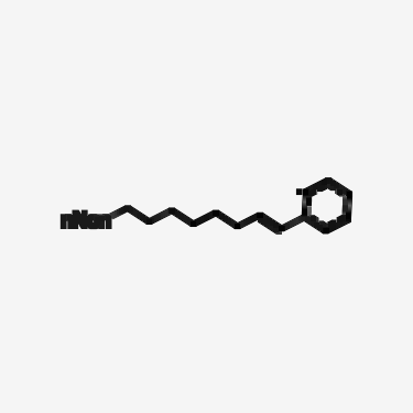 CCCCCCCCCCCCCCC/C=C/c1[c]cccc1